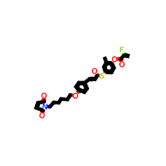 C=C(F)C(=O)Oc1ccc(SC(=O)/C=C/c2ccc(OCCCCCCN3C(=O)C=CC3=O)cc2)cc1C